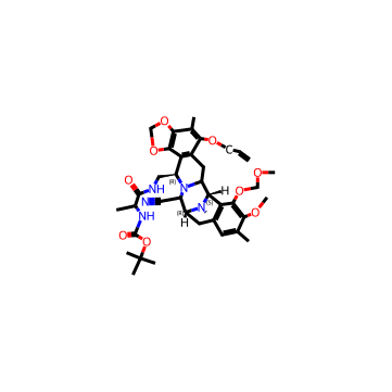 C=CCOc1c(C)c2c(c3c1CC1[C@@H]4c5c(cc(C)c(OC)c5OCOC)C[C@H](C(C#N)N1[C@H]3CNC(=O)C(C)NC(=O)OC(C)(C)C)N4C)OCO2